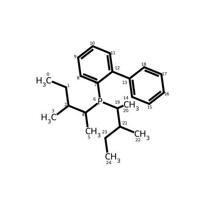 CCC(C)C(C)P(c1ccccc1-c1ccccc1)C(C)C(C)CC